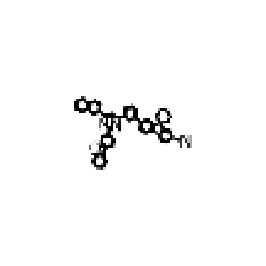 N#Cc1ccc2c(c1)C1(CCCCC1)c1cc(-c3cccc(-c4cc(-c5ccc6ccccc6c5)nc(-c5ccc6c(c5)oc5ccccc56)n4)c3)ccc1-2